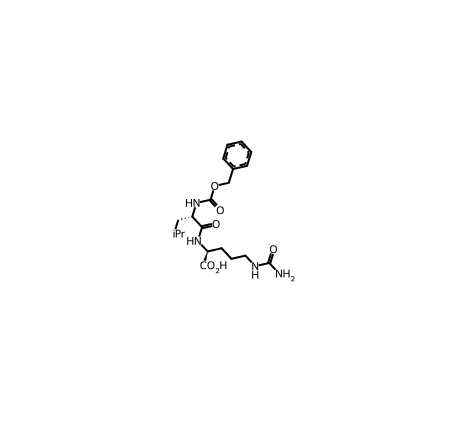 CC(C)C[C@H](NC(=O)OCc1ccccc1)C(=O)N[C@@H](CCCNC(N)=O)C(=O)O